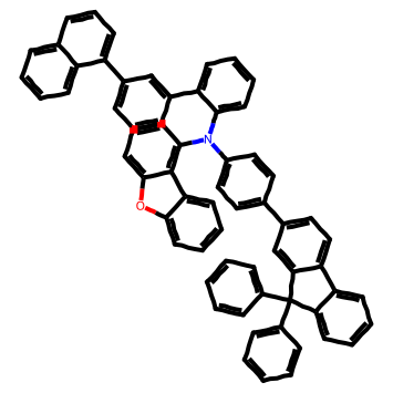 c1ccc(C2(c3ccccc3)c3ccccc3-c3ccc(-c4ccc(N(c5ccccc5-c5cccc(-c6cccc7ccccc67)c5)c5cccc6oc7ccccc7c56)cc4)cc32)cc1